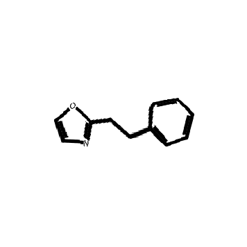 c1ccc(CCc2ncco2)cc1